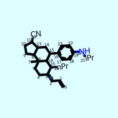 C=C/C=C1/CCC2(C)C3CCC(C#N)C3CC(c3ccc(NC(C)C)cc3)C2C1CCC